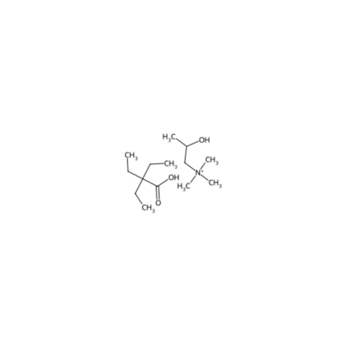 CC(O)C[N+](C)(C)C.CCC(CC)(CC)C(=O)O